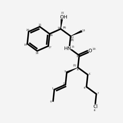 CC=CC[C@H](CCCCl)C(=O)N[C@H](C)[C@H](O)c1ccccc1